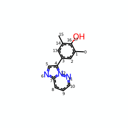 Cc1cc(-c2cnc3cccnn23)cc(C)c1O